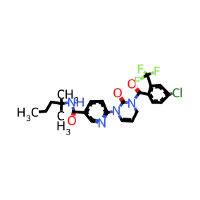 CCCC(C)(C)NC(=O)c1ccc(N2C=CCN(C(=O)c3ccc(Cl)cc3C(F)(F)F)C2=O)nc1